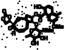 CNC1C(O[C@@H]2/C3=C/C#C[C@H]4O[C@@]4(C4COC(=O)O4)C#CC3=C[C@@H]2OC(=O)c2c(O)ccc3c(C)cc(OC)cc23)OC(C)C(O)C1O